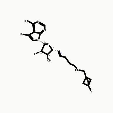 Nc1ncnc2c1c(Br)cn2[C@@H]1O[C@H](/C=C/CCCNCC23CC(F)(C2)C3)[C@@H](O)[C@H]1F